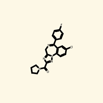 O=C(c1nc2n(n1)-c1ccc(Cl)cc1C(c1ccc(F)cc1)=NC2)N1CCCC1